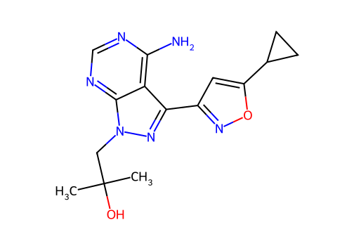 CC(C)(O)Cn1nc(-c2cc(C3CC3)on2)c2c(N)ncnc21